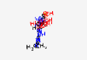 CC(=O)N[C@H]1[C@H](O[C@@H](OCCOCCn2cc(CNc3ccc(/N=N/c4ccc(N(C)C)cc4)cc3)nn2)[C@](C)(O)CNCCNc2cccc3c(S(=O)(=O)O)cccc23)O[C@H](CO)[C@@H](O)[C@@H]1O